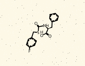 O=C(N[C@@H](Cc1ccccc1)C(=O)O)SCc1ccc(F)cc1